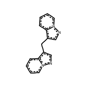 c1ccn2ncc(Cc3cnn4ccccc34)c2c1